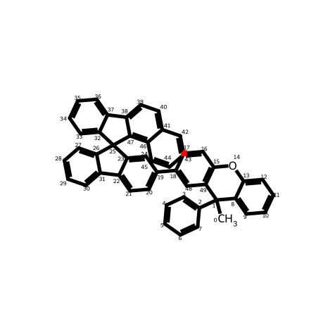 CC1(c2ccccc2)c2ccccc2Oc2ccc(-c3ccc4c(c3)C3(c5ccccc5-4)c4ccccc4-c4ccc5ccccc5c43)cc21